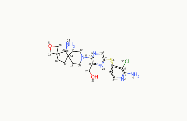 Nc1nccc(Sc2cnc(N3CCC4(CC3)CCC3(COC3)[C@H]4N)c(CO)n2)c1Cl